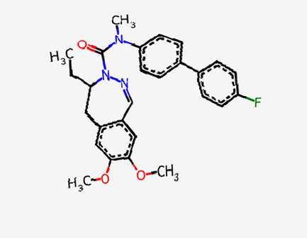 CCC1Cc2cc(OC)c(OC)cc2C=NN1C(=O)N(C)c1ccc(-c2ccc(F)cc2)cc1